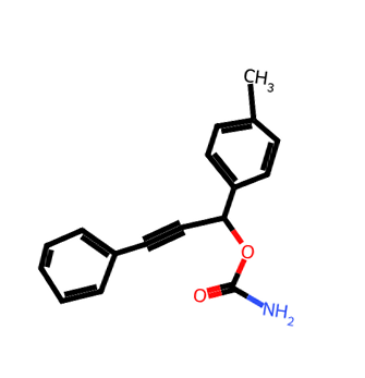 Cc1ccc(C(C#Cc2ccccc2)OC(N)=O)cc1